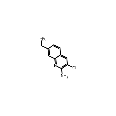 CC(C)(C)Cc1ccc2cc(Cl)c(N)nc2c1